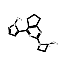 C[C@H]1CCN1c1nc2c(c(-c3ccnn3C)n1)CCC2